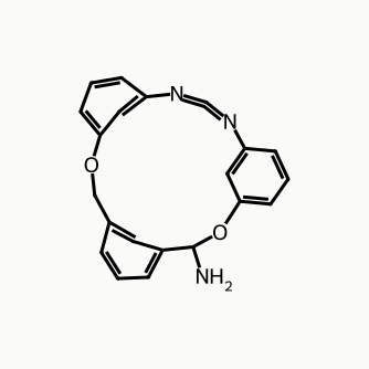 NC1Oc2cccc(c2)N=C=Nc2cccc(c2)OCc2cccc1c2